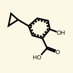 O=C(O)c1cc(C2CC2)ccc1O